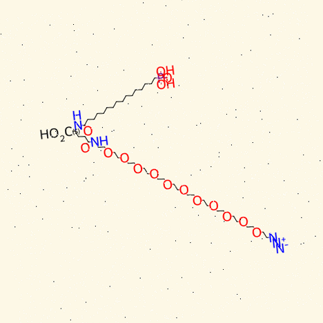 [N-]=[N+]=NCCOCCOCCOCCOCCOCCOCCOCCOCCOCCOCCOCCNC(=O)CC[C@H](NC(=O)CCCCCCCCCCCCCCCP(=O)(O)O)C(=O)O